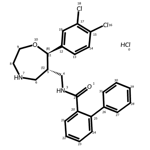 Cl.O=C(NC[C@@H]1CNCCO[C@H]1c1ccc(Cl)c(Cl)c1)c1ccccc1-c1ccccc1